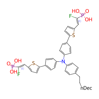 CCCCCCCCCCCCc1ccc(N(c2ccc(-c3ccc(/C=C(\F)P(=O)(O)O)s3)cc2)c2ccc(-c3ccc(/C=C(\F)P(=O)(O)O)s3)cc2)cc1